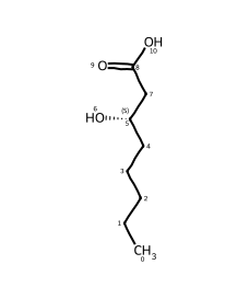 CCCCC[C@H](O)CC(=O)O